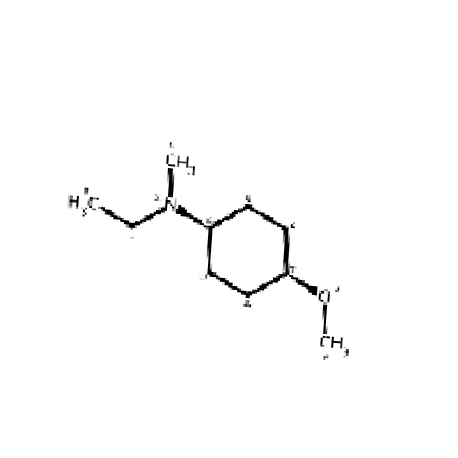 CCN(C)[C@H]1CC[C@@H](OC)CC1